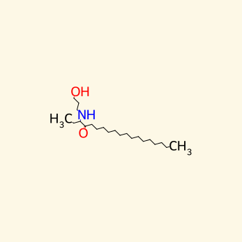 CCCCCCCCCCCCCCCC(=O)C(CC)NCCCO